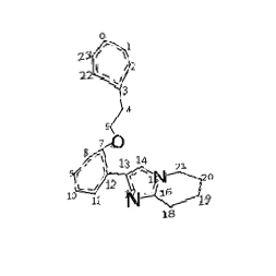 c1ccc(CCOc2ccccc2-c2cn3c(n2)CCCC3)cc1